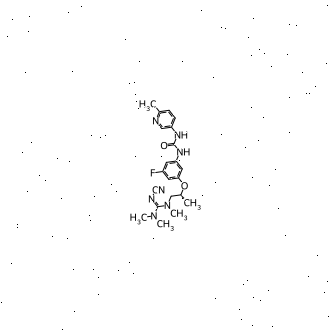 Cc1ccc(NC(=O)Nc2cc(F)cc(O[C@@H](C)CN(C)/C(=N\C#N)N(C)C)c2)cn1